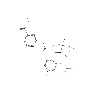 CNC(=O)c1cc(NC(=O)[C@@H]2O[C@](C)(C(F)(F)F)[C@@H](C)[C@@H]2c2ccc(F)c(F)c2OC(F)F)ccn1